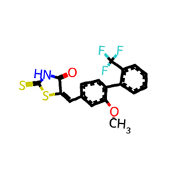 COc1cc(C=C2SC(=S)NC2=O)ccc1-c1ccccc1C(F)(F)F